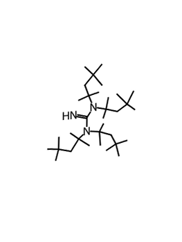 CC(C)(C)CC(C)(C)N(C(=N)N(C(C)(C)CC(C)(C)C)C(C)(C)CC(C)(C)C)C(C)(C)CC(C)(C)C